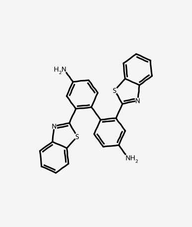 Nc1ccc(-c2ccc(N)cc2-c2nc3ccccc3s2)c(-c2nc3ccccc3s2)c1